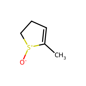 CC1=CCC[S+]1[O-]